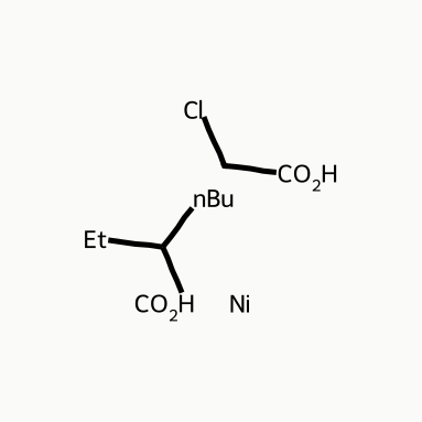 CCCCC(CC)C(=O)O.O=C(O)CCl.[Ni]